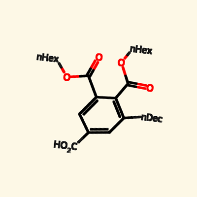 CCCCCCCCCCc1cc(C(=O)O)cc(C(=O)OCCCCCC)c1C(=O)OCCCCCC